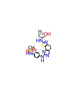 CC(CO)Nc1nc2c(s1)-c1nc(Nc3ccc(NS(C)(=O)=O)cc3)ncc1CC2